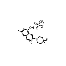 Cc1nc(O)c2cc(N3CCC(F)(F)CC3)[n+](C)cc2n1.O=S(=O)([O-])C(F)(F)F